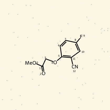 COC(=O)COc1ccc(F)cc1C#N